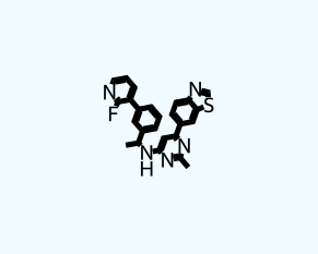 Cc1nc(NC(C)c2cccc(-c3cccnc3F)c2)cc(-c2ccc3ncsc3c2)n1